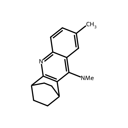 CNc1c2c(nc3ccc(C)cc13)C1CCC2CC1